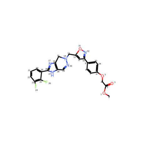 COC(=O)COc1ccc(-c2cc(CN3Cc4nc(-c5cccc(F)c5F)[nH]c4C=N3)on2)cc1